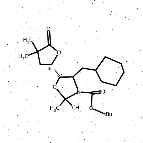 CC(C)(C)OC(=O)N1C(CC2CCCCC2)C([C@@H]2CC(C)(C)C(=O)O2)OC1(C)C